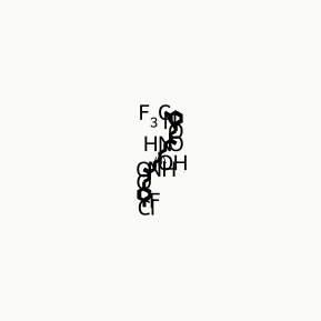 O=C(COc1ccc(Cl)c(F)c1)NC[C@@H](O)CCNC(=O)COc1cccc(C(F)(F)F)n1